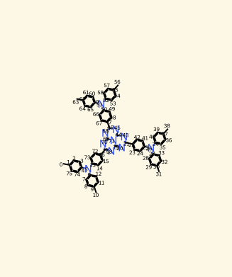 Cc1ccc(N(c2ccc(C)cc2)c2ccc(C3=NC4=NC(c5ccc(N(c6ccc(C)cc6)c6ccc(C)cc6)cc5)=NC5=NC(c6ccc(N(c7ccc(C)cc7)c7ccc(C)cc7)cc6)=NC(=N3)N45)cc2)cc1